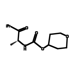 CC(C)C(=O)[C@@H](C)NC(=O)OC1CCOCC1